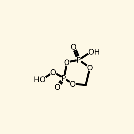 O=P1(O)OCOP(=O)(OO)O1